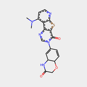 CN(C)c1ccnc2sc3c(=O)n(C4=CC5NC(=O)COC5C=C4)cnc3c12